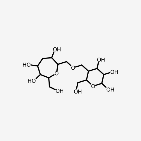 OCC1OC(COCC2C(CO)OC(O)C(O)C2O)C(O)CC(O)C1O